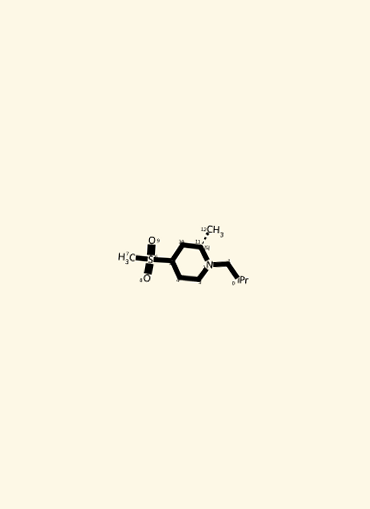 CC(C)CN1CCC(S(C)(=O)=O)C[C@@H]1C